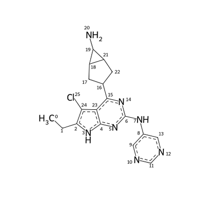 CCc1[nH]c2nc(Nc3cncnc3)nc(C3CC4C(N)C4C3)c2c1Cl